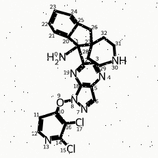 NC1(c2cnc3cnn(Oc4ccnc(Cl)c4Cl)c3n2)c2ccccc2CC12CCNCC2